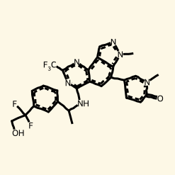 CC(Nc1nc(C(F)(F)F)nc2c1cc(-c1ccc(=O)n(C)c1)c1c2cnn1C)c1cccc(C(F)(F)CO)c1